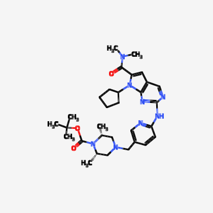 C[C@@H]1CN(Cc2ccc(Nc3ncc4cc(C(=O)N(C)C)n(C5CCCC5)c4n3)nc2)C[C@H](C)N1C(=O)OC(C)(C)C